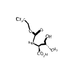 C[C@@H](O)[C@H](NC(=O)OCC(Cl)(Cl)Cl)C(=O)O